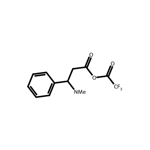 CNC(CC(=O)OC(=O)C(F)(F)F)c1ccccc1